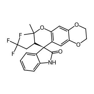 CC1(C)Oc2cc3c(cc2[C@@]2(C(=O)Nc4ccccc42)C1CC(F)(F)F)OCCO3